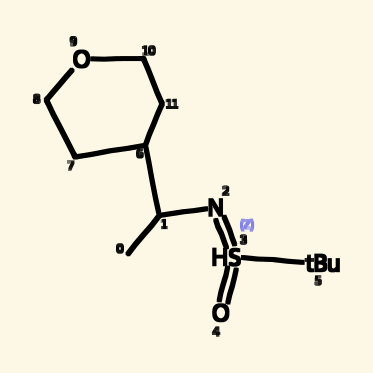 CC(/N=[SH](=O)/C(C)(C)C)C1CCOCC1